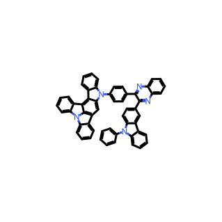 c1ccc(-n2c3ccccc3c3cc(-c4nc5ccccc5nc4-c4ccc(-n5c6ccccc6c6c7c8ccccc8n8c9ccccc9c(cc65)c78)cc4)ccc32)cc1